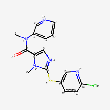 CN(C(=O)c1cnc(Sc2ccc(Cl)nc2)n1C)c1cccnc1